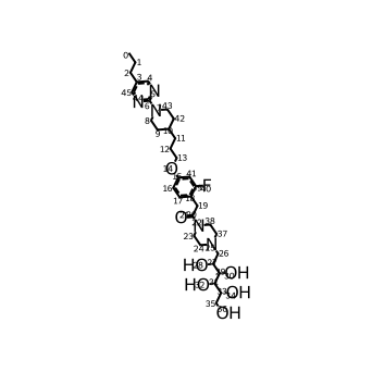 CCCc1cnc(N2CCC(CCCOc3ccc(CC(=O)N4CCN(C[C@H](O)[C@@H](O)[C@H](O)[C@H](O)CO)CC4)c(F)c3)CC2)nc1